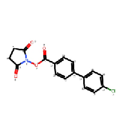 O=C(ON1C(=O)CCC1=O)c1ccc(-c2ccc(Cl)cc2)cc1